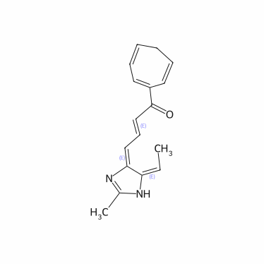 C/C=c1/[nH]c(C)n/c1=C/C=C/C(=O)C1=CC=CCC=C1